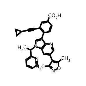 Cc1noc(C)c1-c1cnc2c(-c3ccc(C(=O)O)cc3C#CC3CC3)cn(C(C)c3ccccn3)c2c1